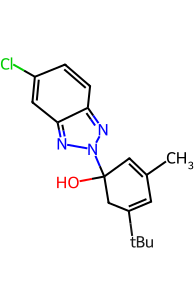 CC1=CC(O)(n2nc3ccc(Cl)cc3n2)CC(C(C)(C)C)=C1